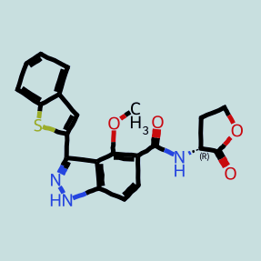 COc1c(C(=O)N[C@@H]2CCOC2=O)ccc2[nH]nc(-c3cc4ccccc4s3)c12